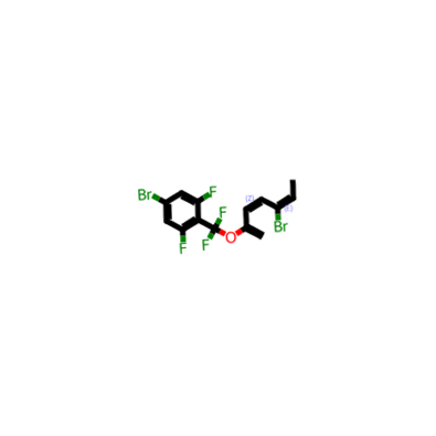 C=C(/C=C\C(Br)=C/C)OC(F)(F)c1c(F)cc(Br)cc1F